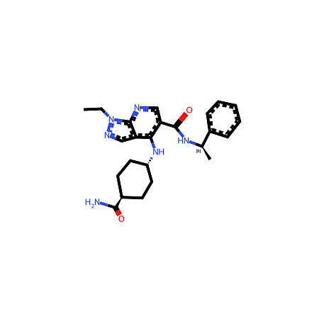 CCn1ncc2c(N[C@H]3CC[C@H](C(N)=O)CC3)c(C(=O)N[C@H](C)c3ccccc3)cnc21